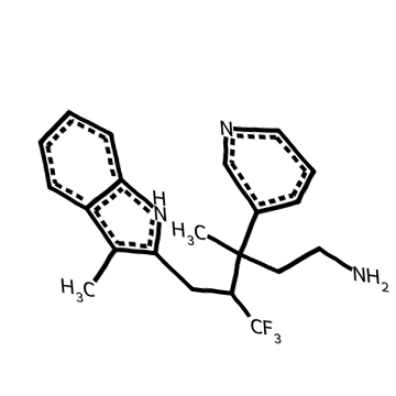 Cc1c(CC(C(F)(F)F)C(C)(CCN)c2cccnc2)[nH]c2ccccc12